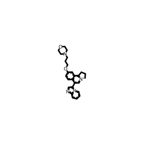 c1ccn2c(-c3c[n+]4c(c5cc(OCCCN6CCOCC6)ccc35)CCC4)cnc2c1